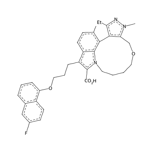 CCc1nn(C)c2c1-c1c(C)ccc3c(CCCOc4cccc5cc(F)ccc45)c(C(=O)O)n(c13)CCCCOC2